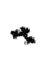 CCOc1cc(CN2CCC(N(c3ccnc(C)c3)N(c3ccnc(C)c3)C3CCN(Cc4cc(OCC)c(-n5cccc5)c(OCC)c4)CC3)CC2)cc(OCC)c1-c1ccc(F)cc1